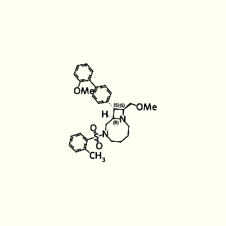 COC[C@@H]1[C@@H](c2ccc(-c3ccccc3OC)cc2)[C@@H]2CN(S(=O)(=O)c3ccccc3C)CCCCN12